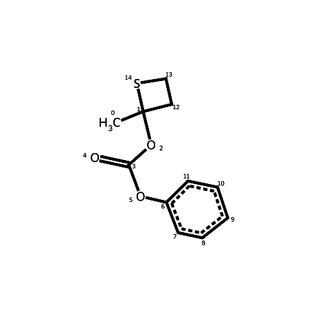 CC1(OC(=O)Oc2ccccc2)CCS1